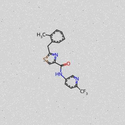 Cc1ccccc1Cc1nc(C(=O)Nc2ccc(C(F)(F)F)nc2)cs1